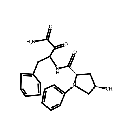 C[C@@H]1C[C@@H](C(=O)NC(Cc2ccccc2)C(=O)C(N)=O)N(c2ccccc2)C1